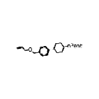 C=CCOCc1ccc([C@H]2CC[C@H](CCCCC)CC2)cc1